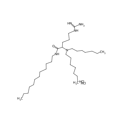 CCCCCCCCCCCCNC(=O)C(CCCNC(=N)N)N(CCCCCCC)CCCCCCC.Cl.Cl